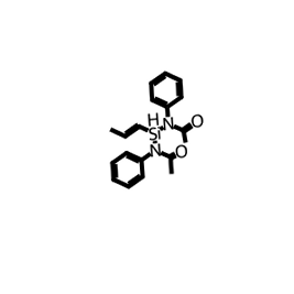 CC=C[SiH](N(C(C)=O)c1ccccc1)N(C(C)=O)c1ccccc1